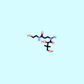 CC(=O)N(CCC(=O)NCCS)C(=O)C(O)C(C)(C)CO